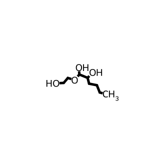 CCCCC(O)C(O)OCCO